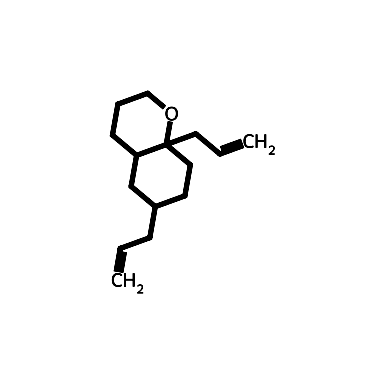 C=CCC1CCC2(CC=C)OCCCC2C1